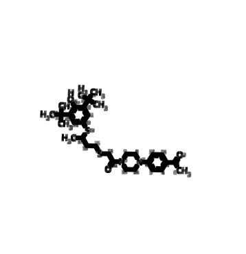 CC(=O)c1ccc(N2CCN(C(=O)CSCCC(C)Sc3cc(C(C)(C)C)c(O)c(C(C)(C)C)c3)CC2)cc1